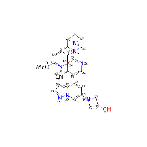 COc1ccc(CN2C3CC2CN(c2ccc(-c4cc(N5CC(O)C5)cn5ncc(C#N)c45)cn2)C3)cn1